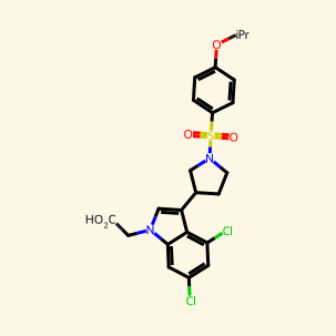 CC(C)Oc1ccc(S(=O)(=O)N2CCC(c3cn(CC(=O)O)c4cc(Cl)cc(Cl)c34)C2)cc1